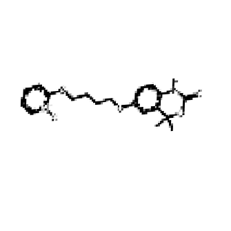 CC1(C)OC(=O)Nc2ccc(OCCCCSc3cccc[n+]3[O-])cc21